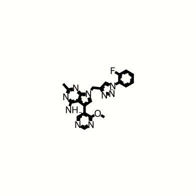 COc1ncncc1-c1cn(Cc2cn(-c3ccccc3F)nn2)c2nc(C)nc(N)c12